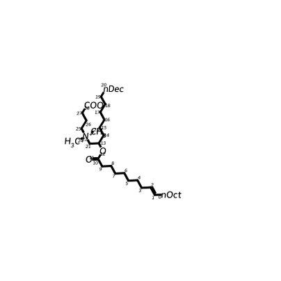 CCCCCCCCC=CCCCCCCCC(=O)OC(CCCCCCCCCCCCCCCC)C[N+](C)(C)CCCC(=O)[O-]